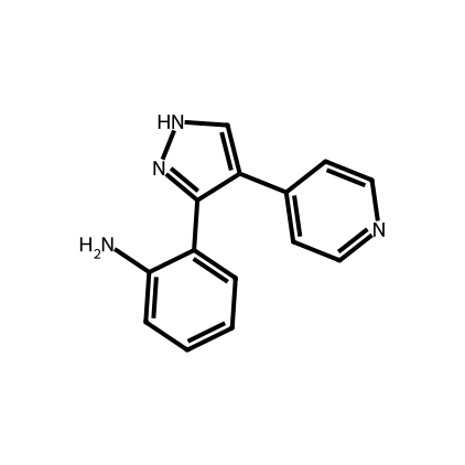 Nc1ccccc1-c1n[nH]cc1-c1ccncc1